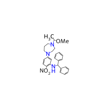 COC(C)N1CCCN(c2ccc([N+](=O)[O-])c(NC(c3ccccc3)c3ccccc3)c2)CC1